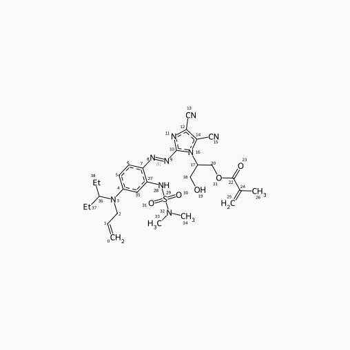 C=CCN(c1ccc(/N=N/c2nc(C#N)c(C#N)n2C(CO)COC(=O)C(=C)C)c(NS(=O)(=O)N(C)C)c1)C(CC)CC